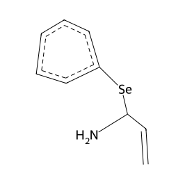 C=CC(N)[Se]c1ccccc1